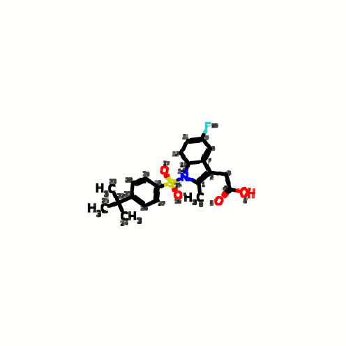 CC1=C(CC(=O)O)C2=CC(F)=CCC2N1S(=O)(=O)c1ccc(C(C)(C)C)cc1